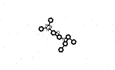 c1ccc(-c2ccc3c4c(-c5ccccc5)cccc4n(-c4ccc5c(c4)oc4cc(-c6nc(-c7ccccc7)nc(-c7ccccc7)n6)ccc45)c3c2)cc1